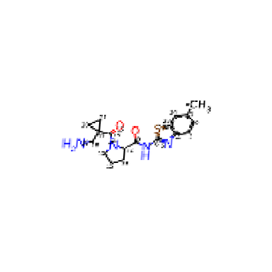 Cc1ccc2nc(NC(=O)[C@H]3CCCN3C(=O)C3(CN)CC3)sc2c1